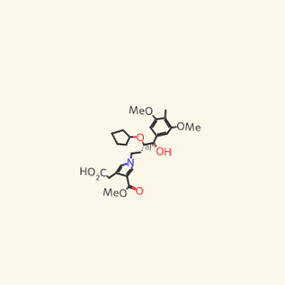 COC(=O)c1cn(CC[C@H](OC2CCCC2)[C@H](O)c2cc(OC)c(C)c(OC)c2)cc1CC(=O)O